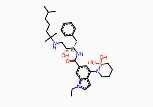 CCn1ccc2c(N3CCCCS3(O)O)cc(C(=O)N[C@@H](Cc3ccccc3)[C@H](O)CNC(C)(C)CCCC(C)C)cc21